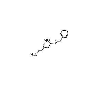 C=CCNC[C@@H](O)COCc1ccccc1